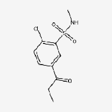 CCC(=O)c1ccc(Cl)c(S(=O)(=O)NC)c1